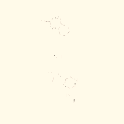 Cc1cc(F)c(OCCNCC2CN(c3cnc4c(n3)NC(=O)CO4)C(=O)O2)c2c1ncc(=O)n2C